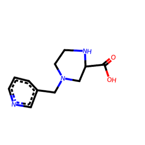 O=C(O)C1CN(Cc2cccnc2)CCN1